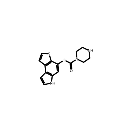 O=C(Oc1cc2[nH]ccc2c2ccsc12)N1CCNCC1